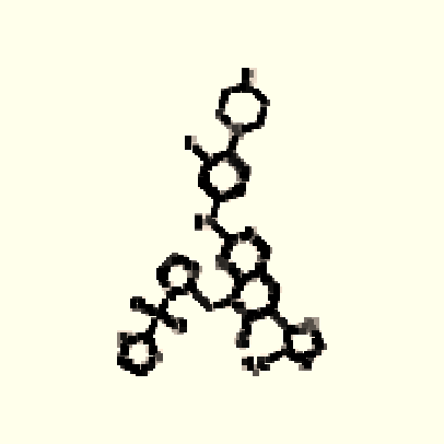 Cc1scnc1-c1cc2cnc(Nc3ccc(N4CCNCC4)c(F)c3)nc2n(Cc2nccn2S(=O)(=O)c2nccs2)c1=O